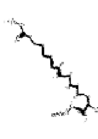 CCCCCCCOC(=O)CCCCCCCCCCCCCC(CC)C(=O)OCCCCCCC